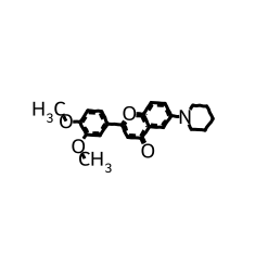 COc1ccc(-c2cc(=O)c3cc(N4CCCCC4)ccc3o2)cc1OC